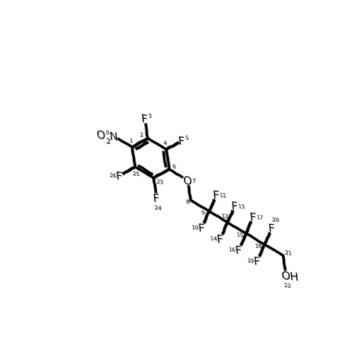 O=[N+]([O-])c1c(F)c(F)c(OCC(F)(F)C(F)(F)C(F)(F)C(F)(F)CO)c(F)c1F